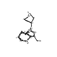 Cc1nn(C2COC2)c2cccnc12